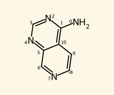 Nc1ncnc2cn[c]cc12